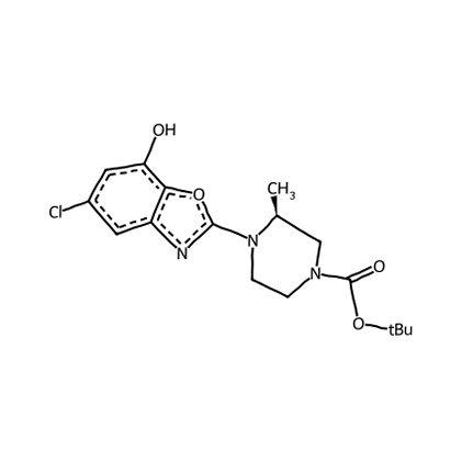 C[C@H]1CN(C(=O)OC(C)(C)C)CCN1c1nc2cc(Cl)cc(O)c2o1